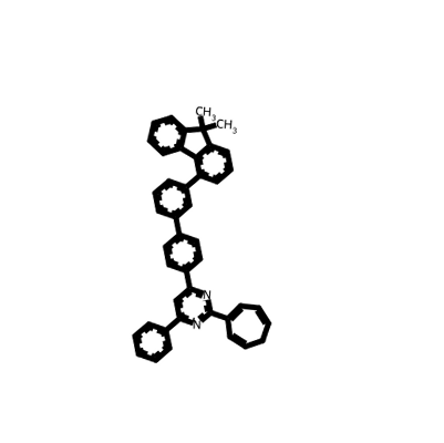 CC1(C)c2ccccc2-c2c(-c3cccc(-c4ccc(-c5cc(-c6ccccc6)nc(C6=CC=CCC=C6)n5)cc4)c3)cccc21